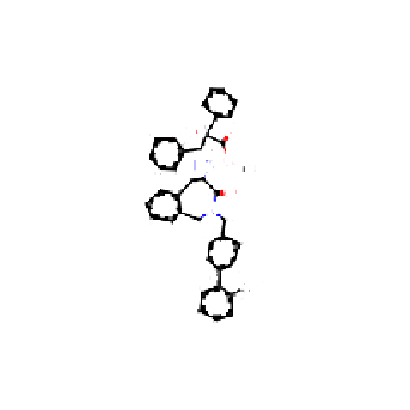 CC(C)(C)OC(=O)[C@](O)(c1ccccc1)[C@H](N[C@@H]1Cc2ccccc2CN(Cc2ccc(-c3ccccc3[N+](=O)[O-])cc2)C1=O)c1ccccc1